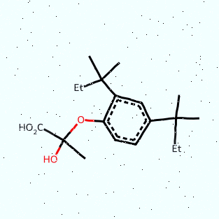 CCC(C)(C)c1ccc(OC(C)(O)C(=O)O)c(C(C)(C)CC)c1